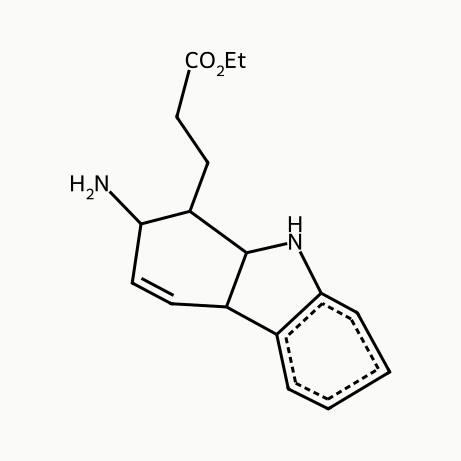 CCOC(=O)CCC1C(N)C=CC2c3ccccc3NC21